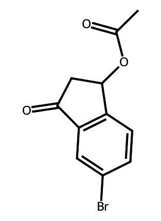 CC(=O)OC1CC(=O)c2cc(Br)ccc21